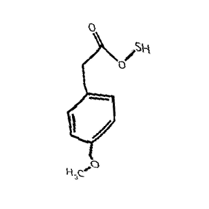 COc1ccc(CC(=O)OS)cc1